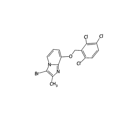 Cc1nc2c(OCc3c(Cl)ccc(Cl)c3Cl)cccn2c1Br